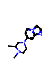 CC1CN(c2ccn3ccnc3c2)CCN1C